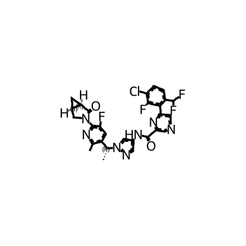 Cc1nc(N2C[C@H]3C[C@H]3C2=O)c(F)cc1[C@@H](C)n1cc(NC(=O)c2cncc(-c3c(C(F)F)ccc(Cl)c3F)n2)cn1